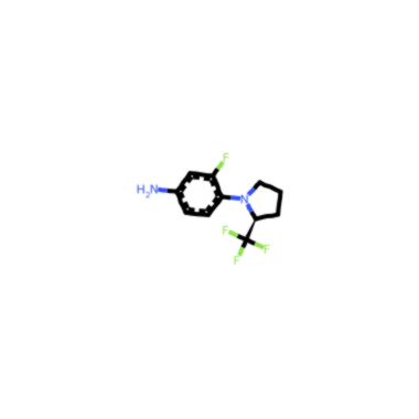 Nc1ccc(N2CCC[C@H]2C(F)(F)F)c(F)c1